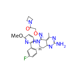 COc1cccc(-c2cc(F)ccc2[C@H]2Cc3nc(N)nc(C)c3/C(=N/OCC(=O)N3CCC3)N2)n1